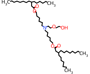 CCCCCCCCC(CCCCCC)CC(=O)OCCCCCCN(CCCCCCOC(=O)CC(CCCCCCC)CCCCCCCC)CCOCCO